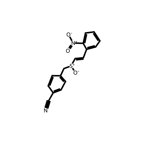 N#Cc1ccc(C[S+]([O-])/C=C/c2ccccc2[N+](=O)[O-])cc1